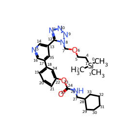 C[Si](C)(C)CCOCn1nnnc1-c1cncc(-c2cccc(OC(=O)NCC3CCCCC3)c2)c1